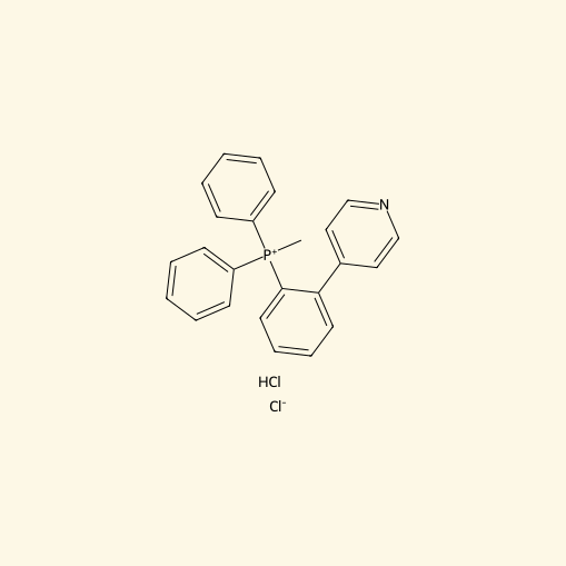 C[P+](c1ccccc1)(c1ccccc1)c1ccccc1-c1ccncc1.Cl.[Cl-]